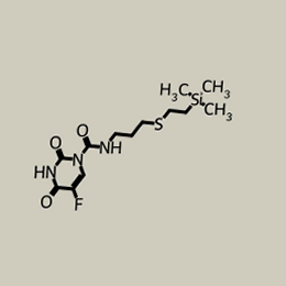 C[Si](C)(C)CCSCCCNC(=O)n1cc(F)c(=O)[nH]c1=O